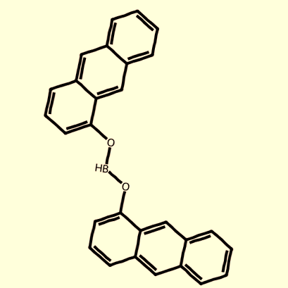 B(Oc1cccc2cc3ccccc3cc12)Oc1cccc2cc3ccccc3cc12